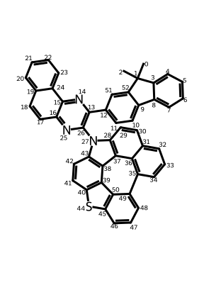 CC1(C)c2ccccc2-c2ccc(-c3nc4c(ccc5ccccc54)nc3-n3c4ccc5cccc6c5c4c4c5c(ccc43)sc3cccc-6c35)cc21